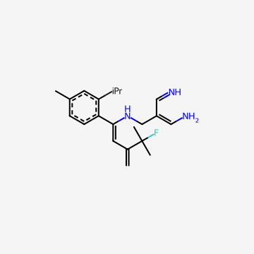 C=C(/C=C(\NC/C(C=N)=C/N)c1ccc(C)cc1C(C)C)C(C)(C)F